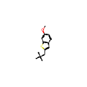 COc1ccc2cc(CC(C)(C)C)sc2c1